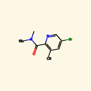 CN(C(=O)c1ncc(Br)cc1C#N)C(C)(C)C